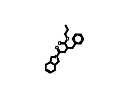 CCCOC(=O)C(CC(=O)N1CC2CC=CCC2C1)Cc1ccccc1